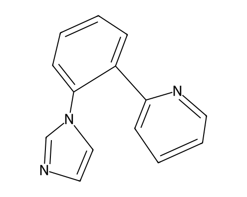 c1ccc(-c2ccccc2-n2ccnc2)nc1